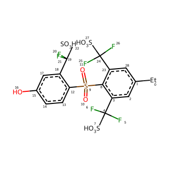 CCc1cc(C(F)(F)S(=O)(=O)O)c(S(=O)(=O)c2ccc(O)cc2C(F)(F)S(=O)(=O)O)c(C(F)(F)S(=O)(=O)O)c1